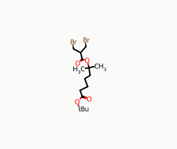 CC(C)(C)OC(=O)CCCCC(C)(C)OC(=O)C(CBr)CBr